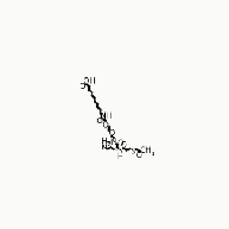 CC(=O)CSCCC(=O)N[C@@H](CCCN)C(=O)NCCOCCOCC(=O)NCCCCCCCCCCC(=O)O